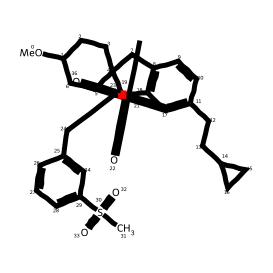 COC1CCC2(CC1)Cc1ccc(CCC3CC3)cc1C21NC(=O)N(Cc2cccc(S(C)(=O)=O)c2)C1=O